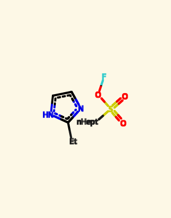 CCCCCCCS(=O)(=O)OF.CCc1ncc[nH]1